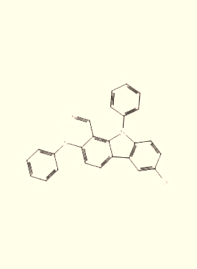 N=Cc1c(Nc2ccccc2)ccc2c3cc(Br)ccc3n(-c3ccccc3)c12